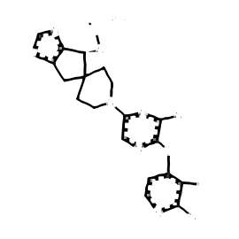 CC(C)(C)[S@@+]([O-])N[C@@H]1c2ncsc2CC12CCN(c1cnc(Sc3ccnc(N)c3Cl)c(N)n1)CC2